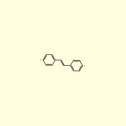 [c]1ccc(/C=C/c2cc[c]cc2)cc1